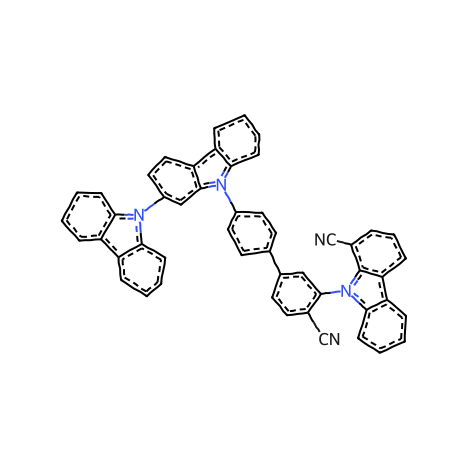 N#Cc1ccc(-c2ccc(-n3c4ccccc4c4ccc(-n5c6ccccc6c6ccccc65)cc43)cc2)cc1-n1c2ccccc2c2cccc(C#N)c21